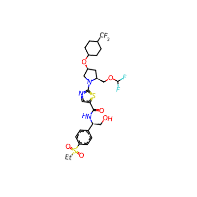 CCS(=O)(=O)c1ccc([C@H](CO)NC(=O)c2cnc(N3C[C@@H](OC4CCC(C(F)(F)F)CC4)C[C@H]3COC(F)F)s2)cc1